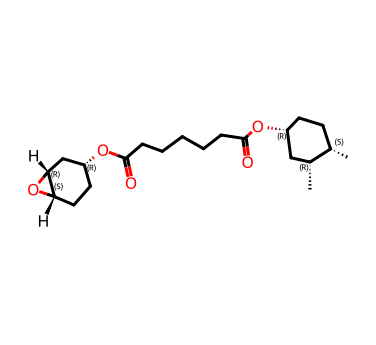 C[C@@H]1C[C@H](OC(=O)CCCCCC(=O)O[C@@H]2CC[C@@H]3O[C@@H]3C2)CC[C@@H]1C